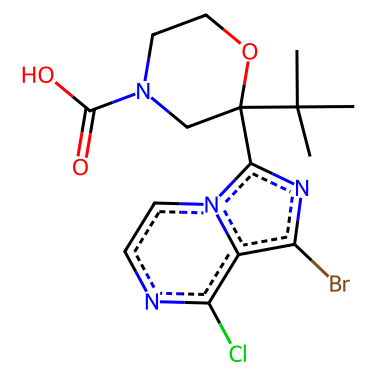 CC(C)(C)C1(c2nc(Br)c3c(Cl)nccn23)CN(C(=O)O)CCO1